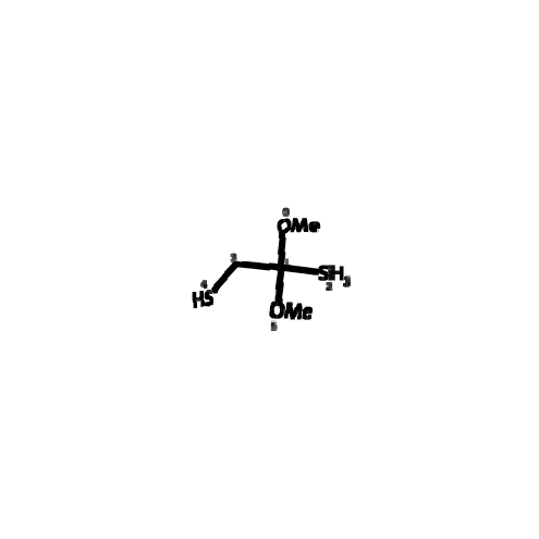 COC([SiH3])(CS)OC